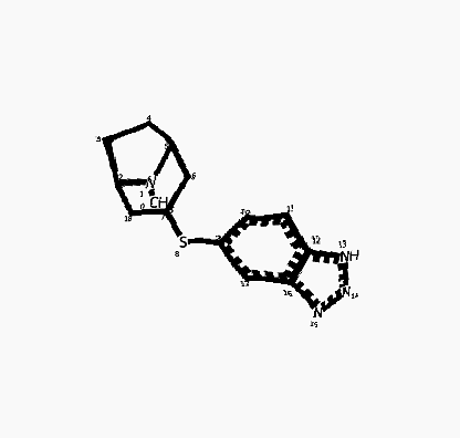 CN1C2CCC1CC(Sc1ccc3[nH]nnc3c1)C2